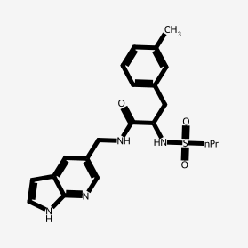 CCCS(=O)(=O)NC(Cc1cccc(C)c1)C(=O)NCc1cnc2[nH]ccc2c1